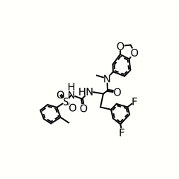 Cc1ccccc1S(=O)(=O)NC(=O)NC(Cc1cc(F)cc(F)c1)C(=O)N(C)c1ccc2c(c1)OCO2